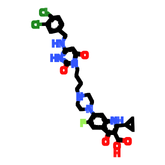 O=C(O)c1c(C2CC2)[nH]c2cc(N3CCN(CCCCn4c(=O)cc(NCc5ccc(Cl)c(Cl)c5)[nH]c4=O)CC3)c(F)cc2c1=O